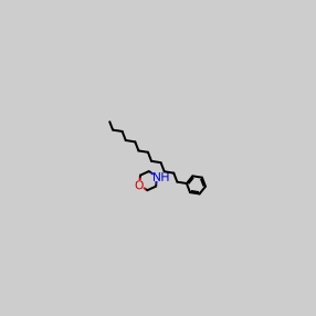 C1COCCN1.CCCCCCCCCCCCc1ccccc1